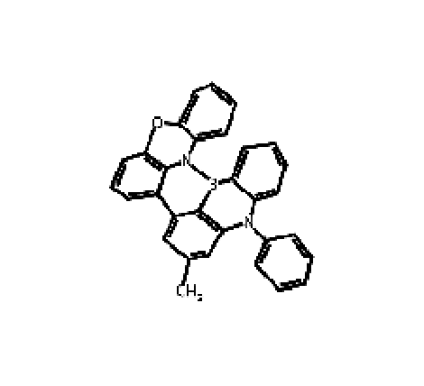 Cc1cc2c3c(c1)N(c1ccccc1)c1ccccc1B3N1c3ccccc3Oc3cccc-2c31